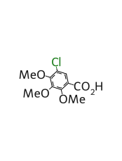 COc1c(Cl)cc(C(=O)O)c(OC)c1OC